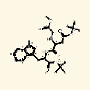 COC(=O)CNC(CC(=O)OC(C)(C)C)C(=O)NC(Cc1c[nH]c2ccccc12)C(=O)OC(C)(C)C